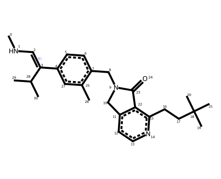 CN/C=C(/c1ccc(CN2Cc3ccnc(CCC(C)(C)C)c3C2=O)c(C)c1)C(C)C